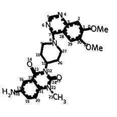 COc1cc2ncnc(N3CCC(n4c(=O)c5cc(N)ccc5n(C)c4=O)CC3)c2cc1OC